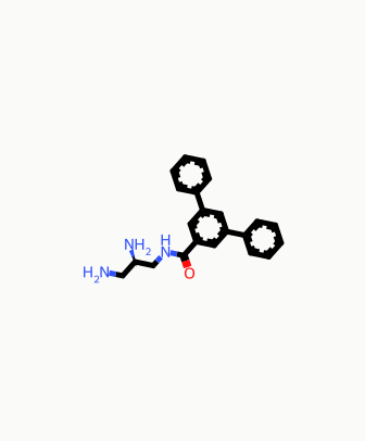 NC[C@@H](N)CNC(=O)c1cc(-c2ccccc2)cc(-c2ccccc2)c1